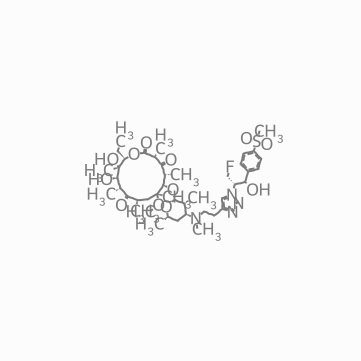 CC[C@H]1OC(=O)[C@H](C)C(=O)[C@H](C)[C@@H](O[C@@H]2O[C@H](C)C[C@H](N(C)CCc3cn([C@H](CF)[C@H](O)c4ccc(S(C)(=O)=O)cc4)nn3)[C@H]2C)[C@](C)(OC)C[C@@H](C)C(=O)[C@H](C)[C@@H](O)[C@]1(C)O